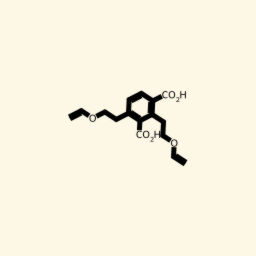 C=COCCc1ccc(C(=O)O)c(CCOC=C)c1C(=O)O